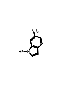 Cc1ccc2ccn(S)c2c1